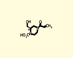 C=CC(=O)N1CCN(C(=O)O)[C@@H](CO)C1